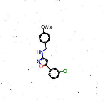 COc1ccc(CNc2cc(-c3cccc(Cl)c3)on2)cc1